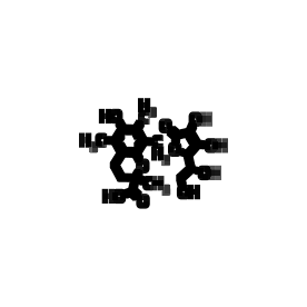 Cc1c(C)c2c(c(C)c1O)CCC(C)(C(=O)O)O2.O=C1O[C@H]([C@@H](O)CO)C(O)=C1O